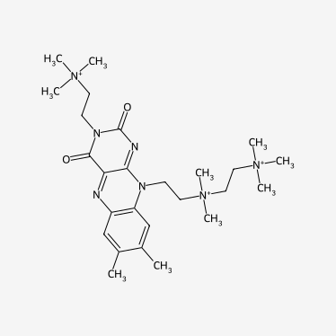 Cc1cc2nc3c(=O)n(CC[N+](C)(C)C)c(=O)nc-3n(CC[N+](C)(C)CC[N+](C)(C)C)c2cc1C